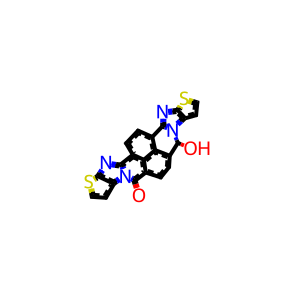 O=c1c2ccc3c4c(ccc(c42)c2nc4sccc4n12)-c1nc2sccc2n1C3O